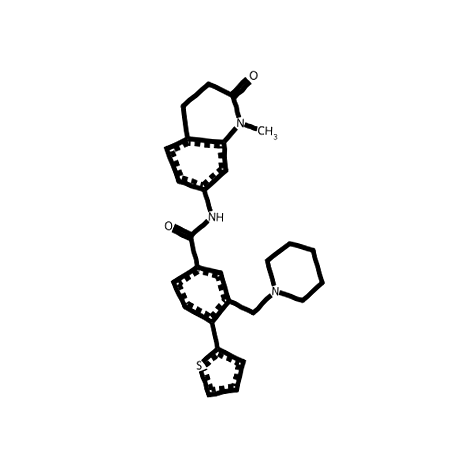 CN1C(=O)CCc2ccc(NC(=O)c3ccc(-c4cccs4)c(CN4CCCCC4)c3)cc21